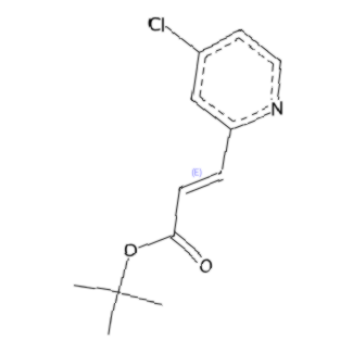 CC(C)(C)OC(=O)/C=C/c1cc(Cl)ccn1